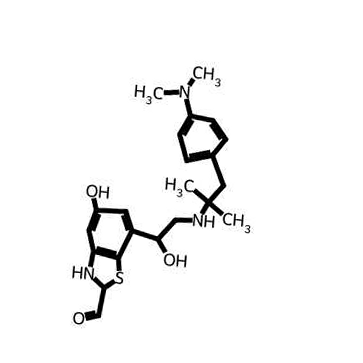 CN(C)c1ccc(CC(C)(C)NCC(O)c2cc(O)cc3c2SC(C=O)N3)cc1